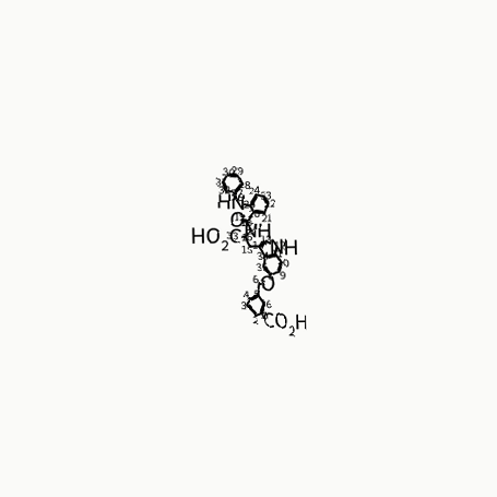 O=C(O)c1cccc(COc2ccc3[nH]cc(CC(NC(=O)c4ccccc4Nc4ccccc4)C(=O)O)c3c2)c1